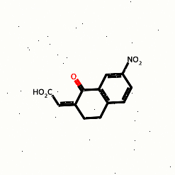 O=C(O)C=C1CCc2ccc([N+](=O)[O-])cc2C1=O